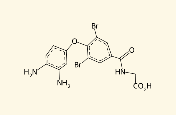 Nc1ccc(Oc2c(Br)cc(C(=O)NCC(=O)O)cc2Br)cc1N